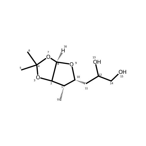 C[C@@H]1C2OC(C)(C)O[C@H]2O[C@@H]1CC(O)CO